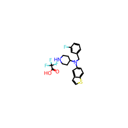 Fc1cccc(CN(c2ccc3sccc3c2)C2CCNCC2)c1.O=C(O)C(F)(F)F